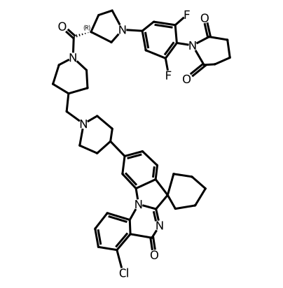 O=C([C@@H]1CCN(c2cc(F)c(N3C(=O)CCCC3=O)c(F)c2)C1)N1CCC(CN2CCC(c3ccc4c(c3)-n3c(nc(=O)c5c(Cl)cccc53)C43CCCCC3)CC2)CC1